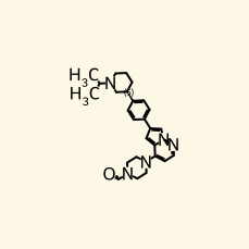 CC(C)N1CCC[C@@H](c2ccc(-c3cc4c(N5CCN(C=O)CC5)ccnn4c3)cc2)C1